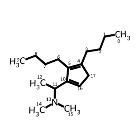 CCCCC1=C(CCCC)C(C(C)N(C)C)=CC1